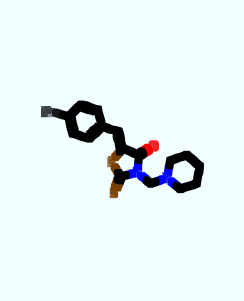 CC(C)c1ccc(/C=C2\SC(=S)N(CN3CCCCC3)C2=O)cc1